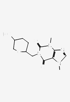 Cn1cnc2c1c(=O)n(CC1CCC(O)CO1)c(=O)n2C